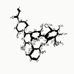 C=CC(=O)N1CCN(C2=NC(O)N(C3=C(C)C=CNC3C(C)C)c3nc(-c4c(F)c(N)c(F)c(F)c4Cl)c(F)cc32)[C@@H](C)C1